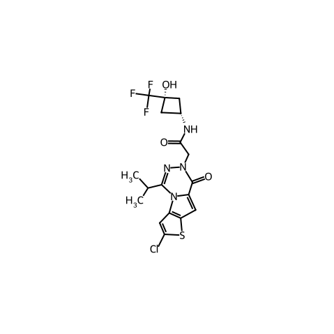 CC(C)c1nn(CC(=O)N[C@H]2C[C@](O)(C(F)(F)F)C2)c(=O)c2cc3sc(Cl)cc3n12